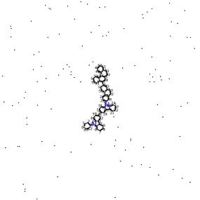 c1ccc(-n2c3ccccc3c3cc(-c4ccc5c(c4)c4ccccc4n5-c4ccc5c(ccc6cc(-c7cc8ccc9ccccc9c8c8ccccc78)ccc65)c4)ccc32)cc1